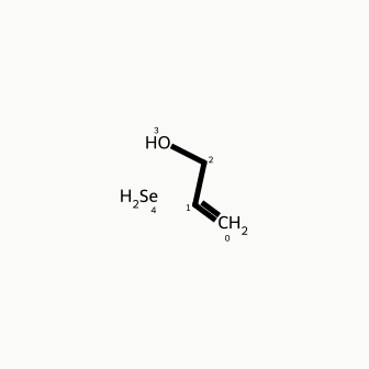 C=CCO.[SeH2]